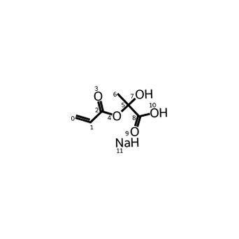 C=CC(=O)OC(C)(O)C(=O)O.[NaH]